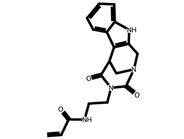 C=CC(=O)NCCN1C(=O)C2CN(Cc3[nH]c4ccccc4c32)C1=O